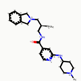 CC(=O)N[C@@H](CNC(=O)c1ccnc(NC2CCN(C(C)=O)CC2)c1)CN1Cc2ccccc2C1